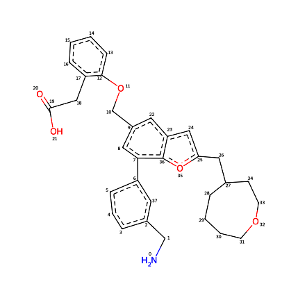 NCc1cccc(-c2cc(COc3ccccc3CC(=O)O)cc3cc(CC4CCCCOCC4)oc23)c1